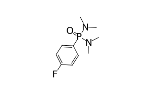 CN(C)P(=O)(c1ccc(F)cc1)N(C)C